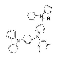 Cc1cc(C)cc(N(c2ccc(-c3nc4ccccc4n3-c3ccccc3)cc2)c2ccc(-n3c4ccccc4c4ccccc43)cc2)c1